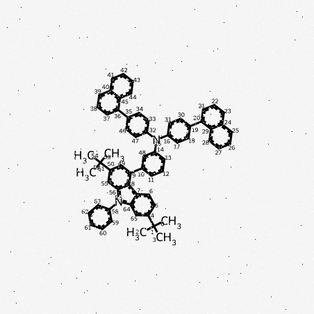 CC(C)(C)c1ccc2c3c(-c4cccc(N(c5ccc(-c6cccc7ccccc67)cc5)c5ccc(-c6cccc7ccccc67)cc5)c4)cc(C(C)(C)C)cc3n(-c3ccccc3)c2c1